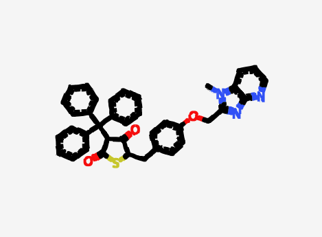 Cn1c(COc2ccc(CC3SC(=O)C(C(c4ccccc4)(c4ccccc4)c4ccccc4)C3=O)cc2)nc2ncccc21